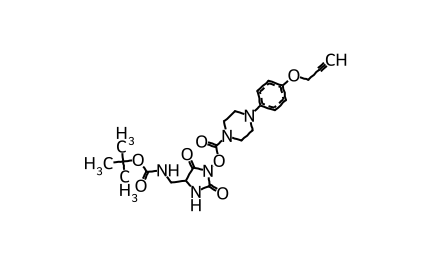 C#CCOc1ccc(N2CCN(C(=O)ON3C(=O)NC(CNC(=O)OC(C)(C)C)C3=O)CC2)cc1